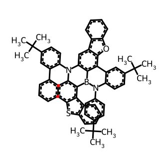 CC(C)(C)c1ccc(N2B3c4c(cc5c(oc6ccccc65)c4-c4cc(C(C)(C)C)ccc42)N(c2ccc(C(C)(C)C)cc2-c2ccccc2)c2ccc4sc5ccccc5c4c23)cc1